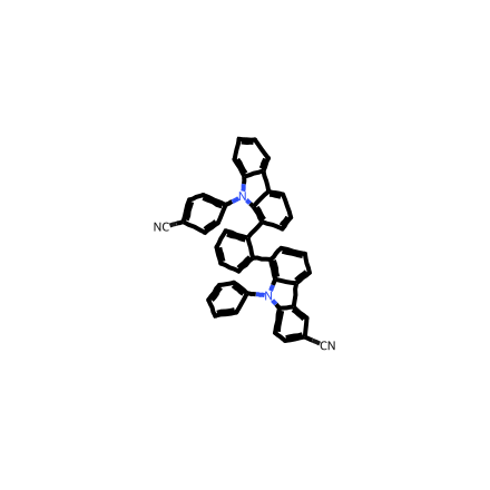 N#Cc1ccc(-n2c3ccccc3c3cccc(-c4ccccc4-c4cccc5c6cc(C#N)ccc6n(-c6ccccc6)c45)c32)cc1